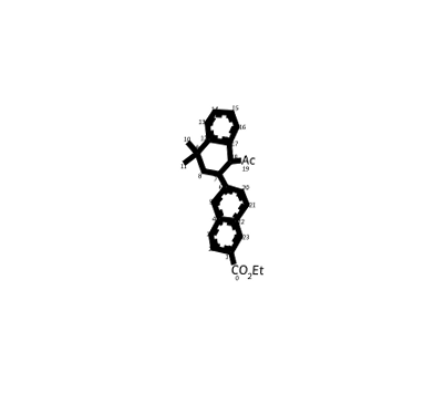 CCOC(=O)c1ccc2cc(C3CC(C)(C)c4ccccc4C3C(C)=O)ccc2c1